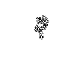 [2H]c1c([2H])c(N(c2ccc(-c3ccccc3)cc2)c2ccc3cc4oc5c6ccccc6c(N(c6ccccc6)c6c([2H])c([2H])c(F)c([2H])c6[2H])cc5c4cc3c2)c([2H])c([2H])c1F